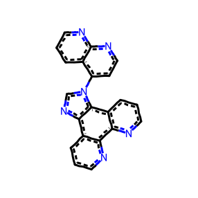 c1cnc2nccc(-n3cnc4c5cccnc5c5ncccc5c43)c2c1